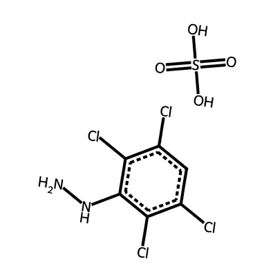 NNc1c(Cl)c(Cl)cc(Cl)c1Cl.O=S(=O)(O)O